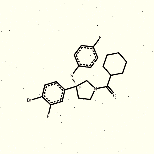 O=C(C1CCCCC1)N1CC[C@@](Sc2ccc(F)cc2)(c2ccc(Br)c(F)c2)C1